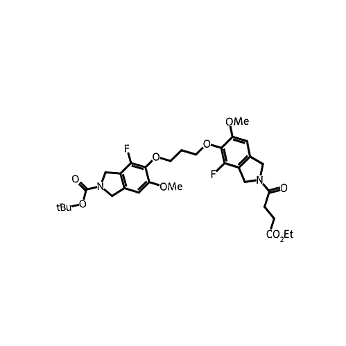 CCOC(=O)CCC(=O)N1Cc2cc(OC)c(OCCCOc3c(OC)cc4c(c3F)CN(C(=O)OC(C)(C)C)C4)c(F)c2C1